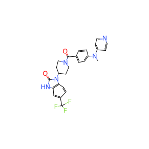 CN(c1ccncc1)c1ccc(C(=O)N2CCC(n3c(=O)[nH]c4cc(C(F)(F)F)ccc43)CC2)cc1